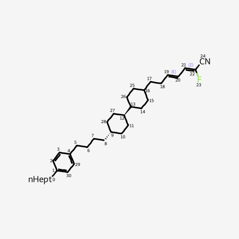 CCCCCCCc1ccc(CCCC[C@H]2CC[C@H](C3CCC(CC/C=C/C=C(\F)C#N)CC3)CC2)cc1